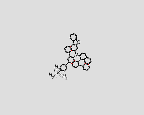 CC(C)(C)c1ccc(-c2ccc(N(c3ccc4c(c3)oc3ccccc34)c3ccc4ccccc4c3-c3ccccc3-c3ccccc3)c(-c3ccccc3)c2)cc1